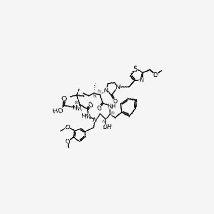 CC[C@H](C)[C@@H](C(=O)N[C@@H](Cc1ccccc1)[C@@H](O)CN(Cc1ccc(OC)c(OC)c1)NC(=O)[C@@H](NC(=O)O)C(C)(C)C)N1CCN(Cc2csc(COC)n2)C1=O